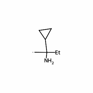 [CH2]C(N)(CC)C1CC1